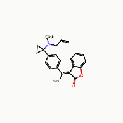 C=CCN(C(=O)O)C1(c2ccc(/C(OC)=C3/C(=O)Oc4ccccc43)cc2)CC1